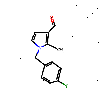 Cc1c(C=O)ccn1Cc1ccc(F)cc1